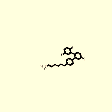 CC=CCCCCc1ccc(-c2cc(F)ccc2-c2cc(F)ccc2F)cc1